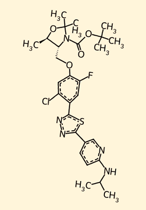 CC(C)Nc1ccc(-c2nnc(-c3cc(F)c(OC[C@@H]4[C@@H](C)OC(C)(C)N4C(=O)OC(C)(C)C)cc3Cl)s2)cn1